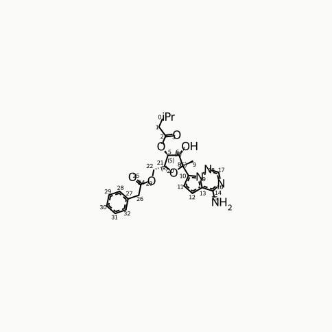 CC(C)CC(=O)O[C@H]1[C@@H](O)[C@](C)(c2ccc3c(N)ncnn23)O[C@@H]1COC(=O)Cc1ccccc1